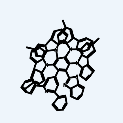 Cc1ccc2c(c1)c1ccccc1n2-c1c(-c2cc(-c3ccccc3)nc(-c3ccccc3)c2)c(-c2nc3ccccc3s2)c(-n2c3ccccc3c3cc(C)ccc32)c(-n2c3ccccc3c3cc(C)ccc32)c1-n1c2ccccc2c2cc(C)ccc21